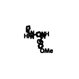 COc1ccc2oc(-c3n[nH]c4ccc(-c5n[nH]c(CN6CCCC6)n5)cc34)cc2c1